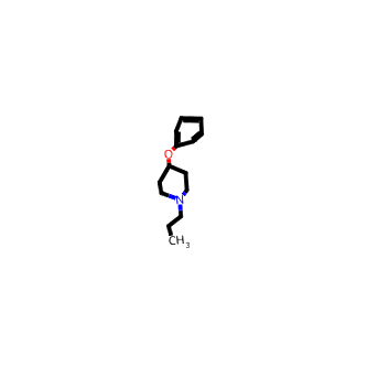 CCCN1CCC(Oc2[c]cccc2)CC1